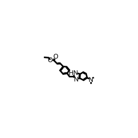 CCOC(=O)/C=C/c1ccc(Cc2nc3cc(N(C)C)ccc3[nH]2)cc1